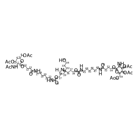 CC(=O)NC1C(OC(C)=O)CC(COC(C)=O)OC1OCCCC(=O)NCCCCCCNC(=O)OCCCC(N)(CCCO)CCCOC(=O)NCCCCCCNC(=O)CCCOC1OC(COC(C)=O)C(OC(C)=O)C(OC(C)=O)C1N